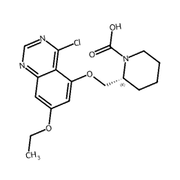 CCOc1cc(OC[C@H]2CCCCN2C(=O)O)c2c(Cl)ncnc2c1